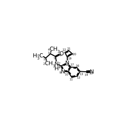 CC(C)[C@@H](C)C(=O)Nc1nc2ccc(C#N)cc2n1C1=CC=C1